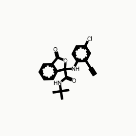 C#Cc1cc(Cl)ccc1NC1(C(=O)NC(C)(C)C)OC(=O)c2ccccc21